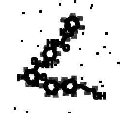 O=C(NC1CCC(NC(=O)c2cc(F)cnc2Oc2cccc(-c3ccc(CCCO)cc3)c2)CC1)c1cc2ccccn2n1